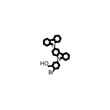 OCc1cc(-n2c3ccccc3c3cc(-n4c5ccccc5c5ccccc54)ccc32)ccc1Br